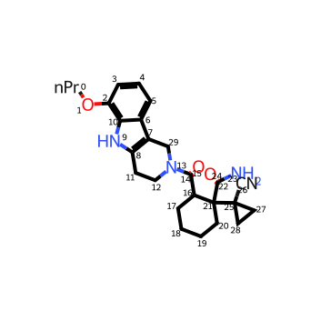 CCCOc1cccc2c3c([nH]c12)CCN(C(=O)C1CCCCC1(C(N)=O)C1(C#N)CC1)C3